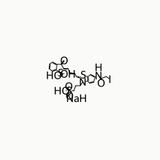 O=C(CI)Nc1ccc2c(c1)SC(=CC=CC=C1C(=O)c3ccccc3S1(O)O)N2CCCS(=O)(=O)O.[NaH]